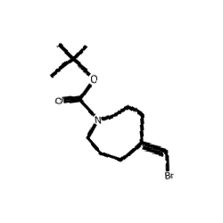 CC(C)(C)OC(=O)N1CCCC(=CBr)CC1